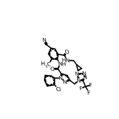 Cc1cc(C#N)cc(C(=O)NCC2CC2)c1NC(=O)c1cc(Cn2nnnc2C(F)(F)F)nn1-c1ccccc1Cl